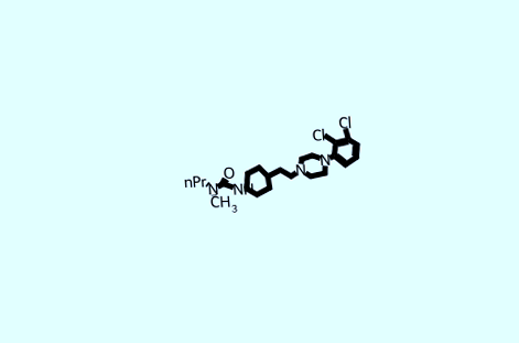 CCCN(C)C(=O)NC1CCC(CCN2CCN(c3cccc(Cl)c3Cl)CC2)CC1